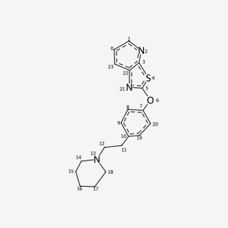 c1cnc2sc(Oc3ccc(CCN4CCCCC4)cc3)nc2c1